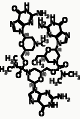 CC[C@@H]1CN(P(=O)(OC[C@@H]2CN(P(=O)(OC[C@@H]3CN(C)C[C@H](n4cnc5c(=O)[nH]c(N)nc54)O3)N(C)C)C[C@H](n3cnc4c(=O)[nH]c(N)nc43)O2)N(C)C)C[C@H](n2cnc3c(=O)[nH]c(N)nc32)O1